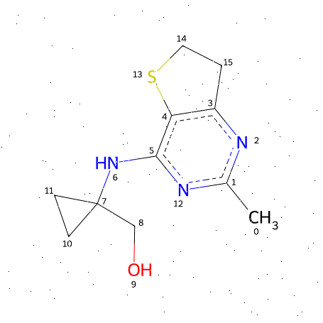 Cc1nc2c(c(NC3(CO)CC3)n1)SCC2